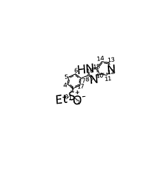 CC[S+]([O-])c1cccc(-c2nc3cnccc3[nH]2)c1